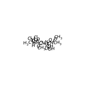 COC[C@H](C)NC(=O)c1nc(N2CC[C@@H](NC(=O)c3[nH]c(C)c(Cl)c3Cl)[C@@H](OC)C2)sc1OC(=O)O